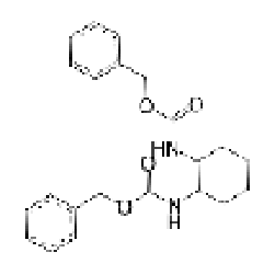 O=C(NC1CCCCC1NC(=O)OCc1ccccc1)OCc1ccccc1